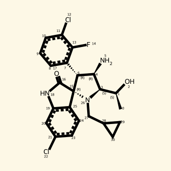 C[C@H](O)[C@@H]1[C@H](N)[C@@H](c2cccc(Cl)c2F)[C@@]2(C(=O)Nc3cc(Cl)ccc32)N1CC1CC1